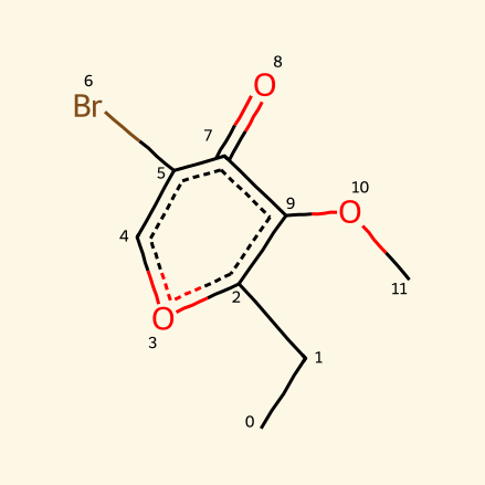 CCc1occ(Br)c(=O)c1OC